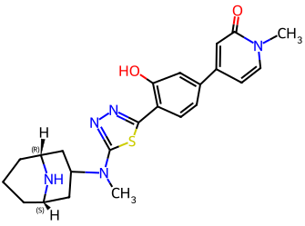 CN(c1nnc(-c2ccc(-c3ccn(C)c(=O)c3)cc2O)s1)C1C[C@H]2CCC[C@@H](C1)N2